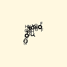 CC(C)CNc1cc(N2CCN(C)CC2)ccc1C(=O)Nc1n[nH]c2c1CN(S(=O)(=O)c1cc(F)cc(F)c1)C2(C)C